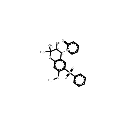 COc1cc2c(cc1S(=O)(=O)c1ccccc1)[C@@H](n1ccccc1=O)[C@H](O)C(C)(C)O2